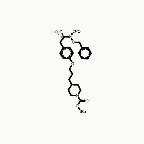 CC(C)(C)OC(=O)N1CCC(CCCOc2ccc(C[C@@H](C(=O)O)N(C=O)OCc3ccccc3)cc2)CC1